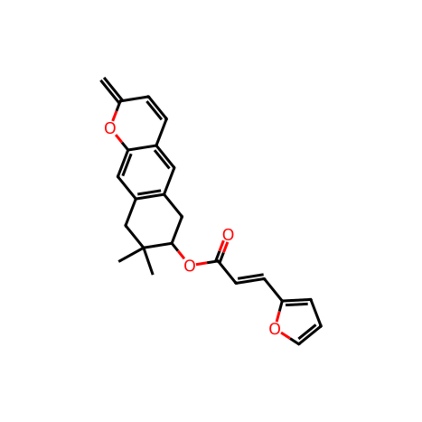 C=C1C=Cc2cc3c(cc2O1)CC(C)(C)C(OC(=O)/C=C/c1ccco1)C3